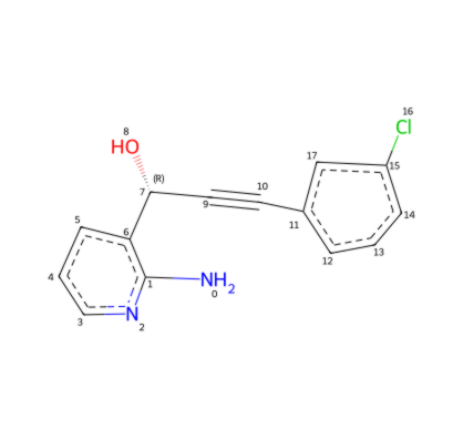 Nc1ncccc1[C@H](O)C#Cc1cccc(Cl)c1